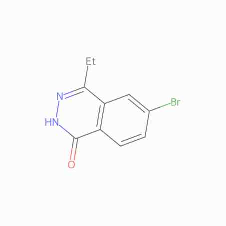 CCc1n[nH]c(=O)c2ccc(Br)cc12